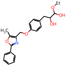 CCOC(O)[C@@H](O)Cc1ccc(OCc2nc(-c3ccccc3)oc2C)cc1